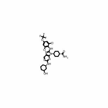 NC(=O)[C@H]1CC[C@@H](n2c(Nc3c(Cl)cc(OC(F)(F)F)cc3Cl)nc3cnc(N[C@@H]4CCCC(O)C4)nc32)CC1